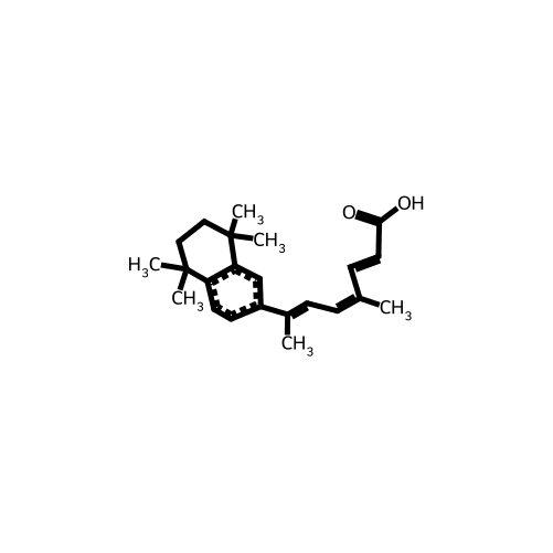 CC(C=CC(=O)O)=CC=C(C)c1ccc2c(c1)C(C)(C)CCC2(C)C